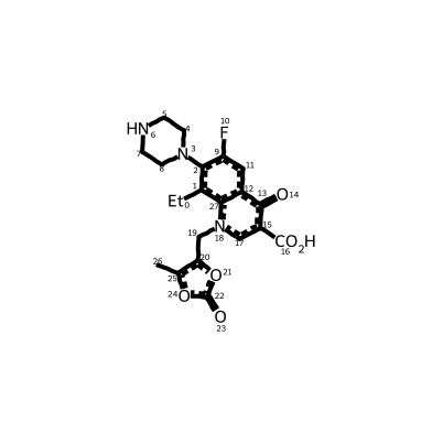 CCc1c(N2CCNCC2)c(F)cc2c(=O)c(C(=O)O)cn(Cc3oc(=O)oc3C)c12